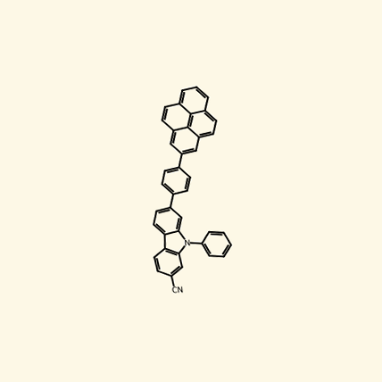 N#Cc1ccc2c3ccc(-c4ccc(-c5cc6ccc7cccc8ccc(c5)c6c78)cc4)cc3n(-c3ccccc3)c2c1